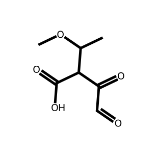 COC(C)C(C(=O)O)C(=O)C=O